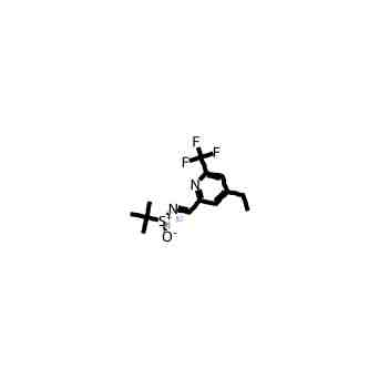 CCc1cc(/C=N/[S@@+]([O-])C(C)(C)C)nc(C(F)(F)F)c1